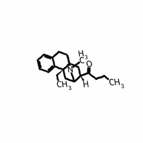 CCCC(=O)[C@H]1CC2C3Cc4ccccc4[C@@]2(CC)CC1N3C